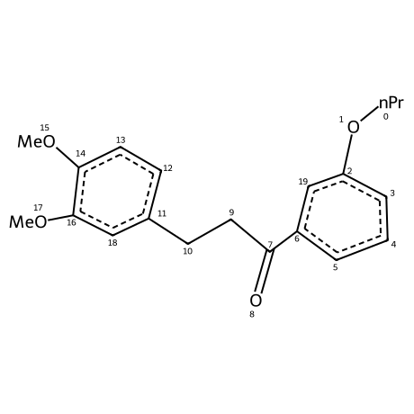 CCCOc1cccc(C(=O)CCc2ccc(OC)c(OC)c2)c1